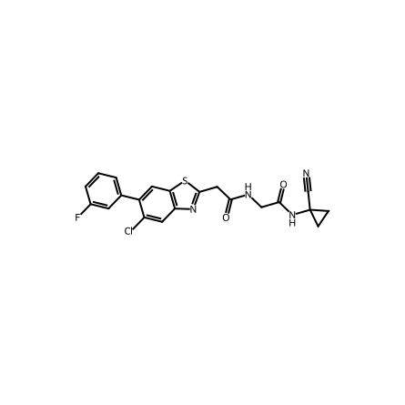 N#CC1(NC(=O)CNC(=O)Cc2nc3cc(Cl)c(-c4cccc(F)c4)cc3s2)CC1